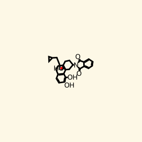 O=C1c2ccccc2C(=O)N1C1CCC2(O)C3Cc4ccc(O)c(O)c4C2(CCN3CC2CC2)C1